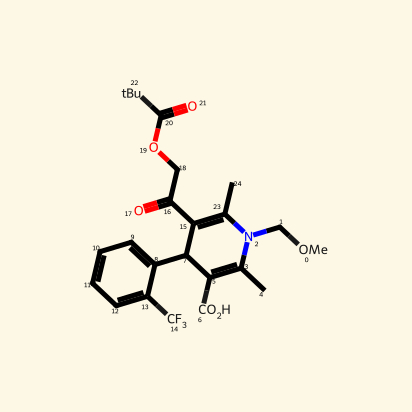 COCN1C(C)=C(C(=O)O)C(c2ccccc2C(F)(F)F)C(C(=O)COC(=O)C(C)(C)C)=C1C